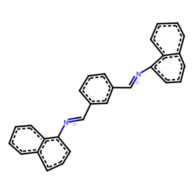 C(=N\c1cccc2ccccc12)/c1cccc(/C=N/c2cccc3ccccc23)c1